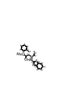 COC(=O)[C@H](Cc1ccccc1)N(C=S)Nc1nc2ccccc2s1